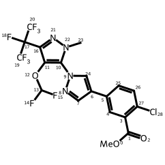 COC(=O)c1cc(-c2cnn(-c3c(OC(F)F)c(C(F)(C(F)(F)F)C(F)(F)F)nn3C)c2)ccc1Cl